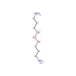 NCCCOOOCCCN